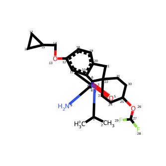 CC(C)N1C(=O)C2(N=C1N)c1cc(OCC3CC3)ccc1CC21CCC(OC(F)F)CC1